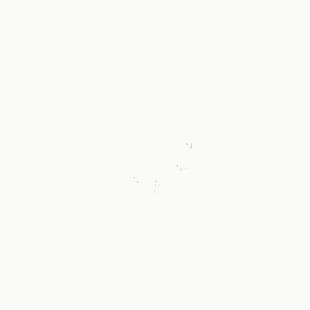 C1CCNNNNC1